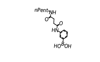 CCCCCNC(=O)CCC(=O)Nc1cccc(B(O)O)c1